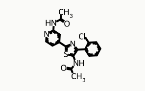 CC(=O)Nc1cc(-c2nc(-c3ccccc3Cl)c(NC(C)=O)s2)ccn1